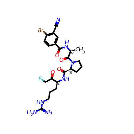 C[C@H](NC(=O)c1ccc(Br)c(C#N)c1)C(=O)N1CCC[C@H]1C(=O)N[C@@H](CCCNC(=N)N)C(=O)CF